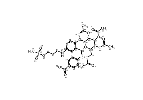 CC(=O)OC[C@H]1O[C@@H](Oc2ccc(NCCCOS(C)(=O)=O)cc2COc2ccc([N+](=O)[O-])cc2)[C@H](OC(C)=O)[C@@H](OC(C)=O)[C@H]1OC(C)=O